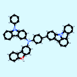 c1ccc(-n2c3ccccc3c3cc(N(c4ccc(-c5ccc6c(c5)c5cccc7c8ccccc8n6c75)cc4)c4ccc5oc6ccccc6c5c4)ccc32)cc1